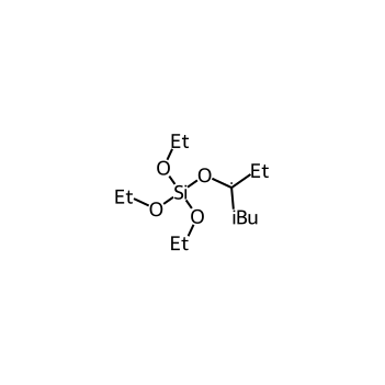 CCO[Si](OCC)(OCC)O[C](CC)C(C)CC